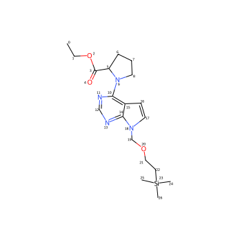 CCOC(=O)C1CCCN1c1ncnc2c1ccn2COCC[Si](C)(C)C